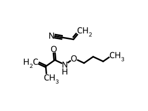 C=C(C)C(=O)NOCCCC.C=CC#N